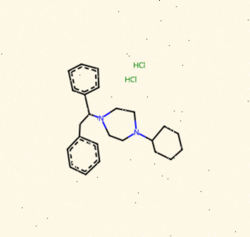 Cl.Cl.c1ccc(CC(c2ccccc2)N2CCN(C3CCCCC3)CC2)cc1